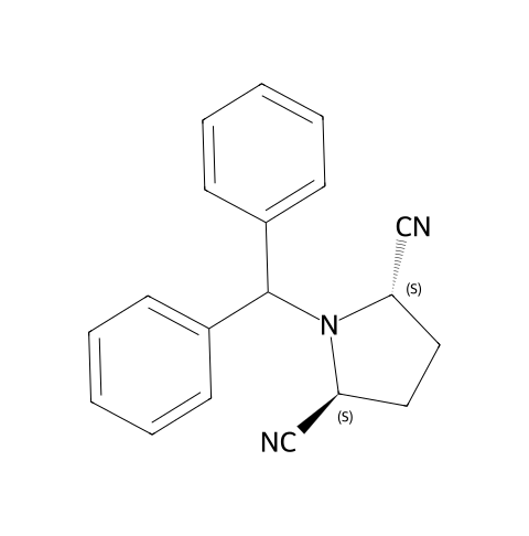 N#C[C@@H]1CC[C@@H](C#N)N1C(c1ccccc1)c1ccccc1